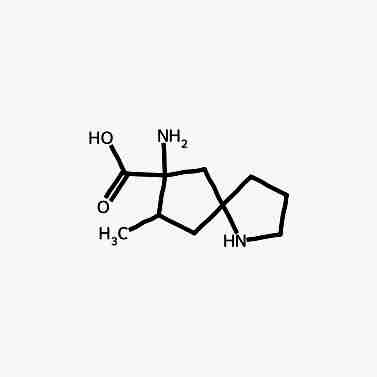 CC1CC2(CCCN2)CC1(N)C(=O)O